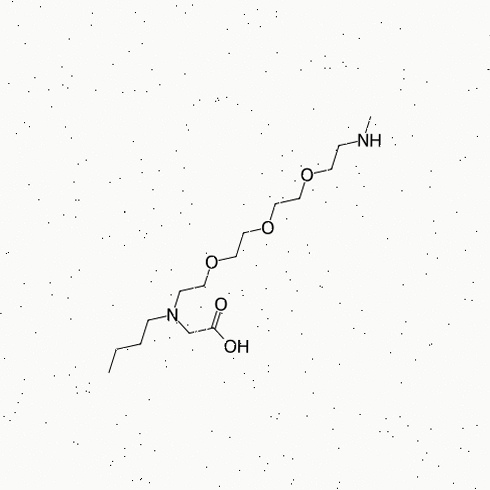 CCCCN(CCOCCOCCOCCNC)CC(=O)O